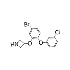 Clc1cccc(Oc2ccc(Br)cc2OC2CNC2)c1